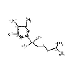 Cc1cc(C(C)(C)CCCC(C)N)cc(Cl)c1N